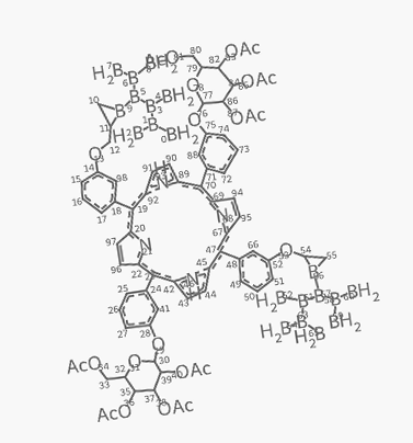 BB(B)B(B)B(B(B)B)B1CC1COc1cccc(-c2c3nc(c(-c4cccc(OC5OC(COC(C)=O)C(OC(C)=O)C(OC(C)=O)C5OC(C)=O)c4)c4ccc([nH]4)c(-c4cccc(OC5CB5B(B(B)B)B(B)B(B)B)c4)c4nc(c(-c5cccc(OC6OC(COC(C)=O)C(OC(C)=O)C(OC(C)=O)C6OC(C)=O)c5)c5ccc2[nH]5)C=C4)C=C3)c1